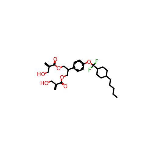 C=C(CO)C(=O)OCC(COC(=O)C(=C)CO)c1ccc(OC(F)(F)C2CCC(CCCCC)CC2)cc1